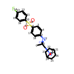 C/C(=N\c1ccc(S(=O)(=O)c2ccc(F)cc2)cc1)N1CC2CCC(CC2)C1